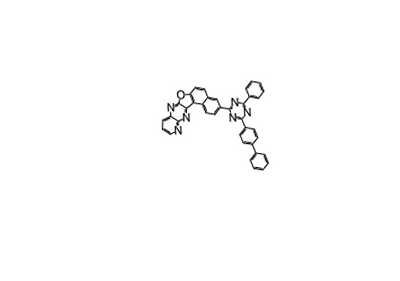 c1ccc(-c2ccc(-c3nc(-c4ccccc4)nc(-c4ccc5c(ccc6oc7nc8cccnc8nc7c65)c4)n3)cc2)cc1